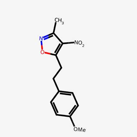 COc1ccc(CCc2onc(C)c2[N+](=O)[O-])cc1